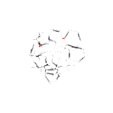 C[Si](C)(C)C1=[C]([Ti]([CH2]c2ccccc2)([CH2]c2ccccc2)([CH2]c2ccccc2)([C]2=C([Si](C)(C)C)C=CC2)([C]2=C([Si](C)(C)C)C=CC2)([C]2=C([Si](C)(C)C)C=CC2)[C]2=C([Si](C)(C)C)C=CC2)CC=C1